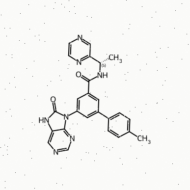 Cc1ccc(-c2cc(C(=O)N[C@@H](C)c3cnccn3)cc(-n3c(=O)[nH]c4cncnc43)c2)cc1